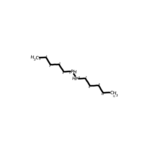 CCCCCPPCCCCC